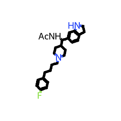 CC(=O)NC(c1ccc2c(c1)NCC2)C1CCN(CCCCc2ccc(F)cc2)CC1